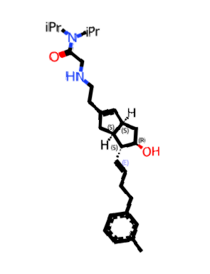 Cc1cccc(CC/C=C/[C@@H]2[C@H]3CC(CCNCC(=O)N(C(C)C)C(C)C)=C[C@H]3C[C@H]2O)c1